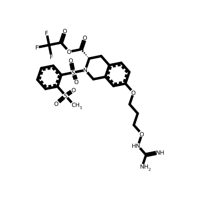 CS(=O)(=O)c1ccccc1S(=O)(=O)N1Cc2cc(OCCCONC(=N)N)ccc2C[C@H]1C(=O)OC(=O)C(F)(F)F